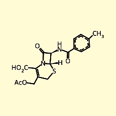 CC(=O)OCC1=C(C(=O)O)N2C(=O)[C@@H](NC(=O)c3ccc(C)cc3)[C@@H]2SC1